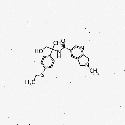 CCSc1ccc(C(C)(CO)NC(=O)c2cnc3c(c2)CN(C)C3)cc1